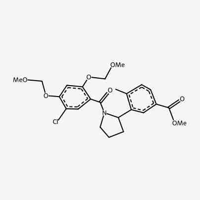 COCOc1cc(OCOC)c(C(=O)N2CCCC2c2cc(C(=O)OC)ccc2C)cc1Cl